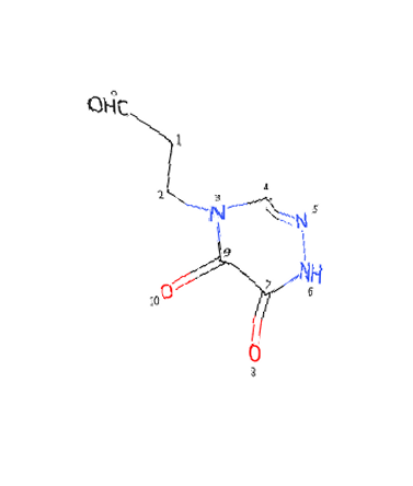 O=CCCn1[c]n[nH]c(=O)c1=O